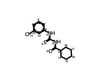 O=C(NC(=S)Nc1cccc(Cl)c1)C1CCCCC1